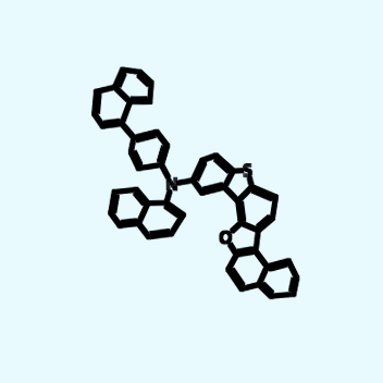 c1ccc2c(-c3ccc(N(c4ccc5sc6ccc7c(oc8ccc9ccccc9c87)c6c5c4)c4cccc5ccccc45)cc3)cccc2c1